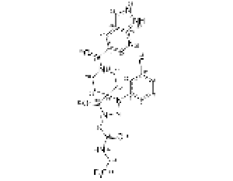 O=C(CN1CN(c2cccc(Cl)c2)C2(CCN(C(=O)c3cnc4[nH]ncc4c3)CC2)C1=O)NCC(F)(F)F